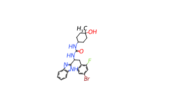 CC1(O)CCC(NC(=O)NC(Cc2ccc(Br)cc2F)c2nc3ccccc3[nH]2)CC1